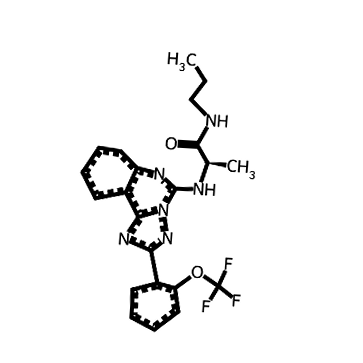 CCCNC(=O)[C@@H](C)Nc1nc2ccccc2c2nc(-c3ccccc3OC(F)(F)F)nn12